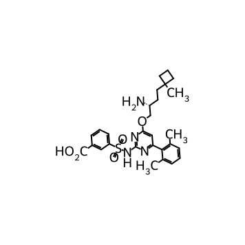 Cc1cccc(C)c1-c1cc(OC[C@H](N)CCC2(C)CCC2)nc(NS(=O)(=O)c2cccc(C(=O)O)c2)n1